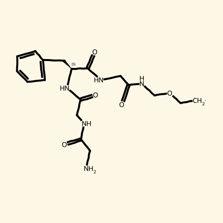 [CH2]COCNC(=O)CNC(=O)[C@H](Cc1ccccc1)NC(=O)CNC(=O)CN